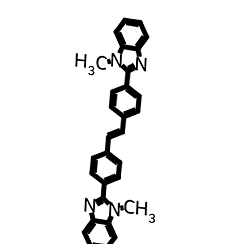 Cn1c(-c2ccc(C=Cc3ccc(-c4nc5ccccc5n4C)cc3)cc2)nc2ccccc21